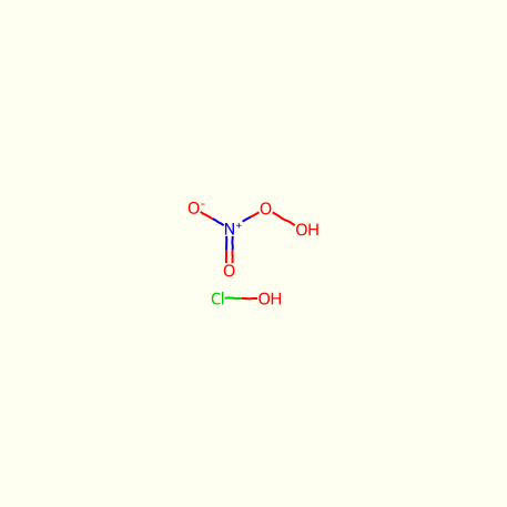 O=[N+]([O-])OO.OCl